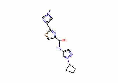 Cn1cnc(-c2nc(C(=O)Nc3cnn(C4CCC4)c3)cs2)c1